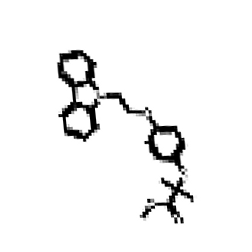 COC(=O)C(C)(C)Sc1ccc(OCCn2c3ccccc3c3ccccc32)cc1